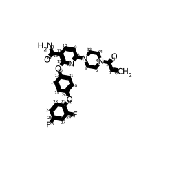 C=CC(=O)N1CCN(c2ccc(C(N)=O)c(Oc3ccc(Oc4ccc(F)cc4F)cc3)n2)CC1